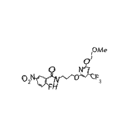 COCCOc1cc(C(F)(F)F)cc(OCCCNC(=O)c2cc([N+](=O)[O-])ccc2F)n1